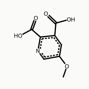 COc1cnc(C(=O)O)c(C(=O)O)c1